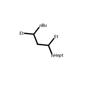 CCCCCCCC([CH]C(CC)CCCC)CC